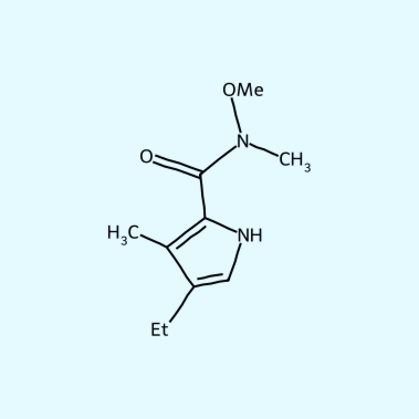 CCc1c[nH]c(C(=O)N(C)OC)c1C